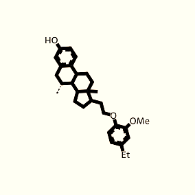 CCc1ccc(OCCC2CCC3C4C(CCC23C)c2ccc(O)cc2C[C@H]4C)c(OC)c1